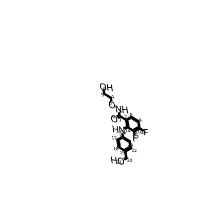 O=C(NOCCO)c1ccc(F)c(F)c1Nc1ccc(CO)cc1